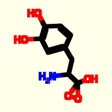 NC(Cc1ccc(O)c(O)c1)C1(O)OO1